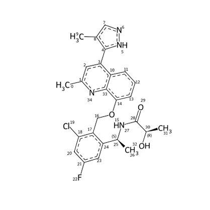 Cc1cc(-c2[nH]ncc2C)c2cccc(OCc3c(Cl)cc(F)cc3[C@H](C)NC(=O)[C@@H](C)O)c2n1